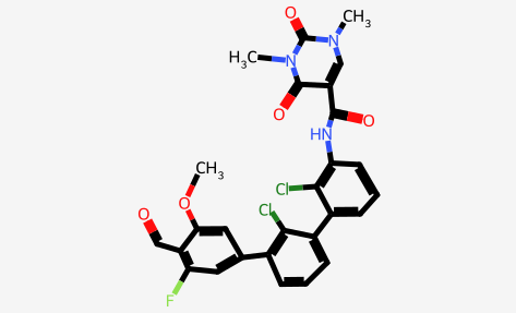 COc1cc(-c2cccc(-c3cccc(NC(=O)c4cn(C)c(=O)n(C)c4=O)c3Cl)c2Cl)cc(F)c1C=O